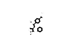 Cc1nn(C)c(Oc2ccccc2)c1C=C(ON)c1ccc(C(=O)OC(C)(C)C)cc1